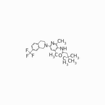 Cc1cc(N2CCc3ccc(C(F)(F)F)cc3C2)nc(C)c1NC(=O)CC(C)(C)C